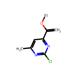 [CH2]c1cc(C(=C)OCC)nc(Cl)n1